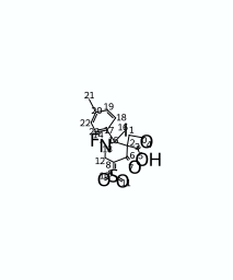 CCC1(C(=O)O)C(=O)C(=S(=O)=O)CN(F)C1(I)c1ccc(C)cc1